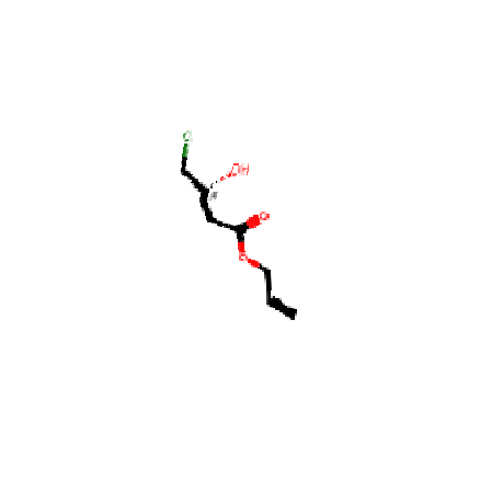 C=CCOC(=O)C[C@@H](O)CCl